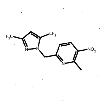 Cc1nc(Cn2nc(C(F)(F)F)cc2C(F)(F)F)ccc1[N+](=O)[O-]